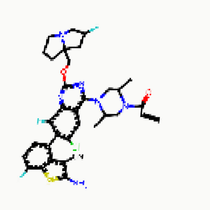 C=CC(=O)N1CC(C)N(c2nc(OCC34CCCN3CC(F)C4)nc3c(F)c(-c4ccc(F)c5sc(N)c(C#N)c45)c(Cl)cc23)CC1C